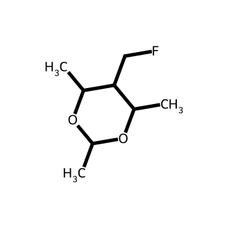 CC1OC(C)C(CF)C(C)O1